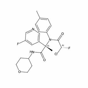 Cc1ccc(N(C(=O)[C@H](F)Cl)[C@](C)(C(=O)NC2CCOCC2)c2cncc(F)c2)cc1